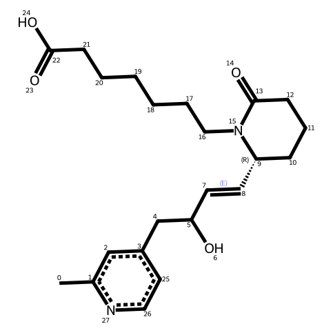 Cc1cc(CC(O)/C=C/[C@H]2CCCC(=O)N2CCCCCCC(=O)O)ccn1